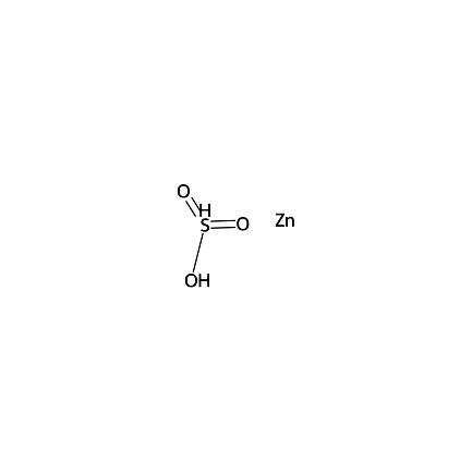 O=[SH](=O)O.[Zn]